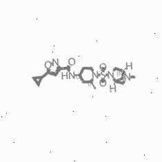 C[C@H]1C[C@@H](NC(=O)c2cc(C3CC3)on2)CCN1S(=O)(=O)N1C[C@@H]2C[C@H]1CN2C